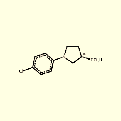 O=C(O)[C@@H]1CCN(c2ccc(Cl)cc2)C1